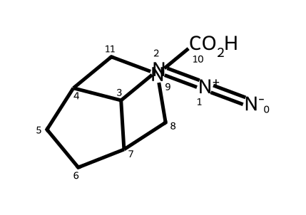 [N-]=[N+]=NC1C2CCC1CN(C(=O)O)C2